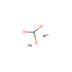 [Al+3].[Fe].[O-]B([O-])[O-]